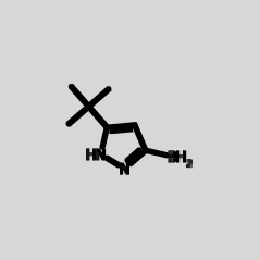 Bc1cc(C(C)(C)C)[nH]n1